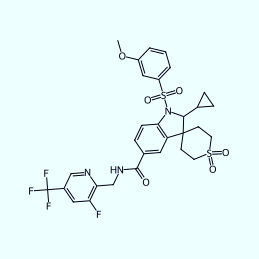 COc1cccc(S(=O)(=O)N2c3ccc(C(=O)NCc4ncc(C(F)(F)F)cc4F)cc3C3(CCS(=O)(=O)CC3)C2C2CC2)c1